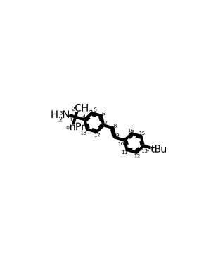 CCCC(C)(N)c1ccc(/C=C/c2ccc(C(C)(C)C)cc2)cc1